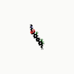 C/C=C/CCC1OCC(c2ccc(-c3ccc(-c4ccc(CCC)c(F)c4F)cc3)cc2F)CO1